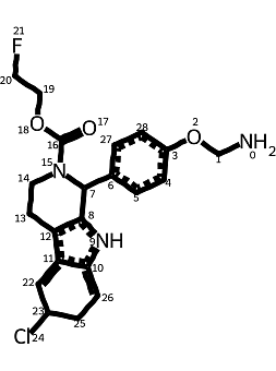 NCOc1ccc(C2c3[nH]c4c(c3CCN2C(=O)OCCF)=CC(Cl)CC=4)cc1